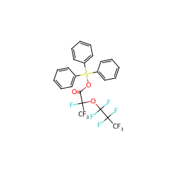 O=C(OS(c1ccccc1)(c1ccccc1)c1ccccc1)C(F)(OC(F)(F)C(F)(F)C(F)(F)F)C(F)(F)F